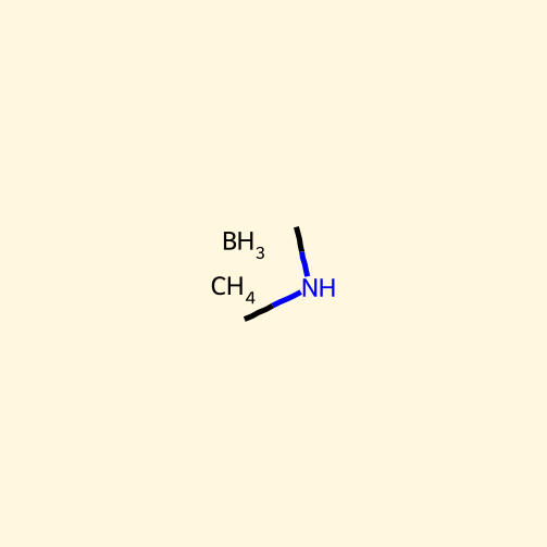 B.C.CNC